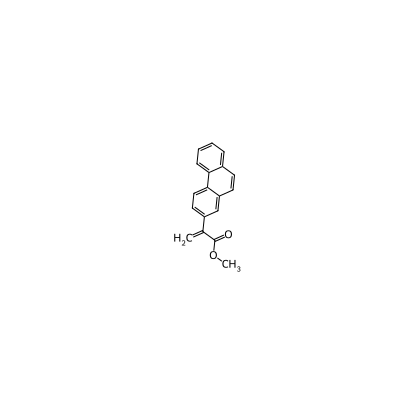 C=C(C(=O)OC)c1ccc2c(ccc3ccccc32)c1